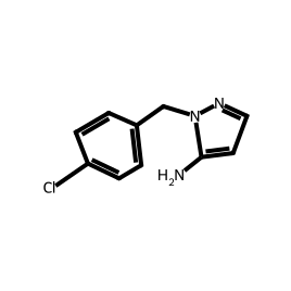 Nc1ccnn1Cc1ccc(Cl)cc1